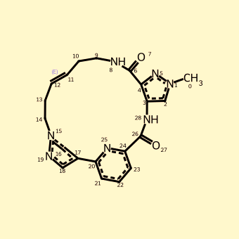 Cn1cc2c(n1)C(=O)NCC/C=C/CCn1cc(cn1)-c1cccc(n1)C(=O)N2